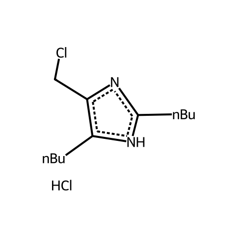 CCCCc1nc(CCl)c(CCCC)[nH]1.Cl